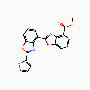 COC(=O)c1cccc2oc(-c3cccc4oc(-c5ccc[nH]5)nc34)nc12